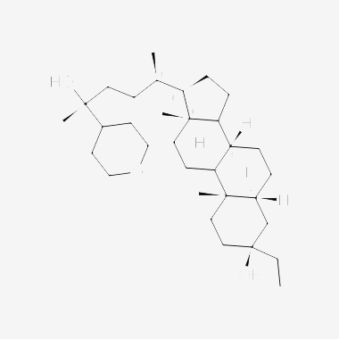 CC[C@]1(O)CC[C@@]2(C)[C@H](CC[C@@H]3[C@@H]2CC[C@]2(C)[C@@H]([C@H](C)CC[C@@](C)(O)C4CCOCC4)CC[C@@H]32)C1